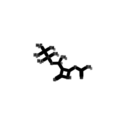 CC(=O)OC1NC(=O)C1[C@H](C)O[Si](C)(C)C(C)(C)C